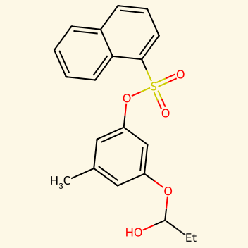 CCC(O)Oc1cc(C)cc(OS(=O)(=O)c2cccc3ccccc23)c1